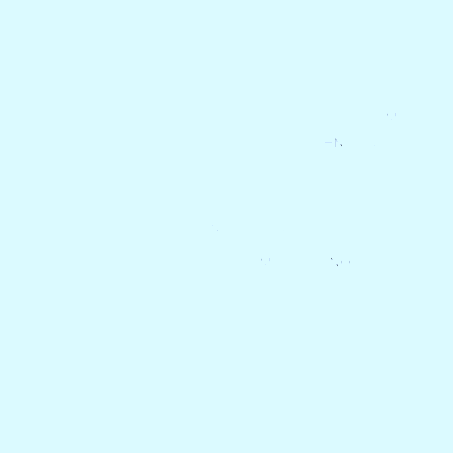 O=c1ccc2c([N+](=O)[O-])c(OC(S)CCCc3ccccc3)ccc2[nH]1